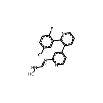 ON/C=N/c1cc(-c2cccnc2-c2cc(Cl)ccc2F)ccn1